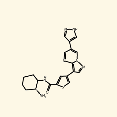 N[C@H]1CCCC[C@H]1NC(=O)c1cc(-c2cnn3cc(-c4cn[nH]c4)cnc23)cs1